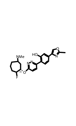 CNC1CCCC(F)[C@@H](Oc2ccc(-c3ccc(-c4coc(C)n4)cc3O)nn2)C1